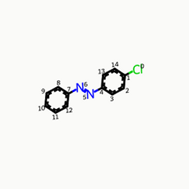 Clc1ccc(/N=N/c2ccccc2)cc1